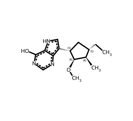 CC[C@H]1C[C@@H](c2c[nH]c3c(O)ncnc23)[C@H](OC)[C@@H]1C